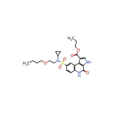 CCCCOCCN(C1CC1)S(=O)(=O)c1ccc2[nH]c(=O)c3[nH]cc(C(=O)OCCC)c3c2c1